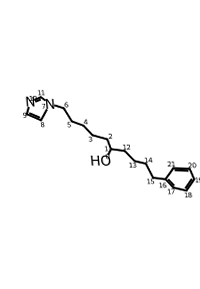 OC(CCCCCn1ccnc1)CCCCc1ccccc1